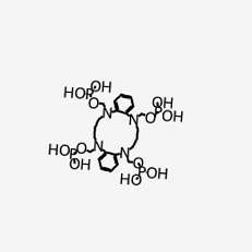 OP(O)OCN1CCCN(COP(O)O)c2ccccc2N(COP(O)O)CCCN(COP(O)O)c2ccccc21